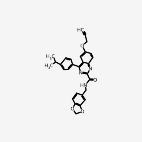 C#CCOc1ccc2nc(C(=O)NCc3ccc4c(c3)OCO4)nc(-c3ccc(C(C)C)cc3)c2c1